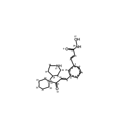 O=C(/C=C/c1cccc(/C=C/C(=O)[N+]2(C3CCNCC3)CCCCC2)c1)NO